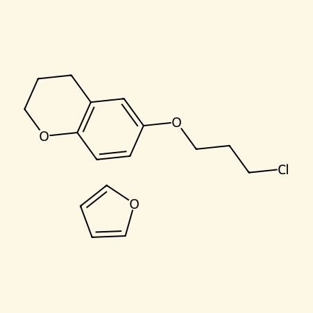 ClCCCOc1ccc2c(c1)CCCO2.c1ccoc1